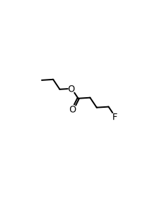 CCCOC(=O)CCCF